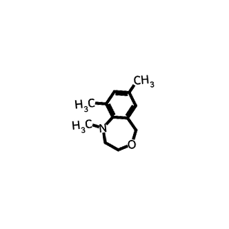 Cc1cc(C)c2c(c1)COCCN2C